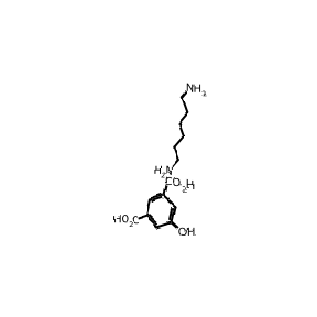 NCCCCCCN.O=C(O)c1cc(O)cc(C(=O)O)c1